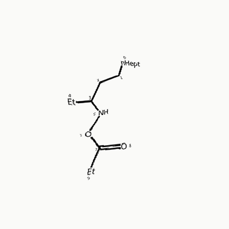 CCCCCCCCCC(CC)NOC(=O)CC